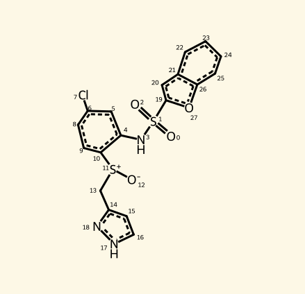 O=S(=O)(Nc1cc(Cl)ccc1[S+]([O-])Cc1cc[nH]n1)c1cc2ccccc2o1